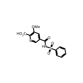 COc1cc(C(=O)NS(=O)(=O)c2ccccc2)cnc1C(=O)O